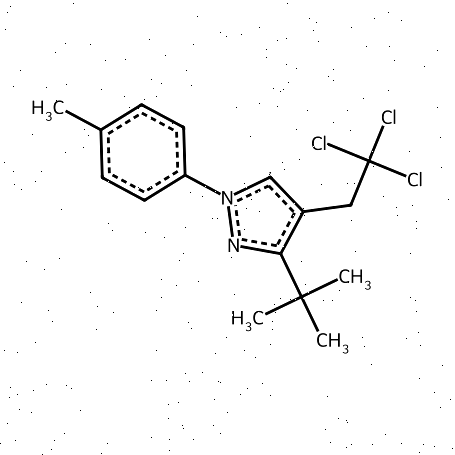 Cc1ccc(-n2[c]c(CC(Cl)(Cl)Cl)c(C(C)(C)C)n2)cc1